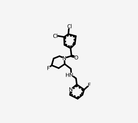 O=C(c1ccc(Cl)c(Cl)c1)N1CCC(F)CC1CNCc1ncccc1F